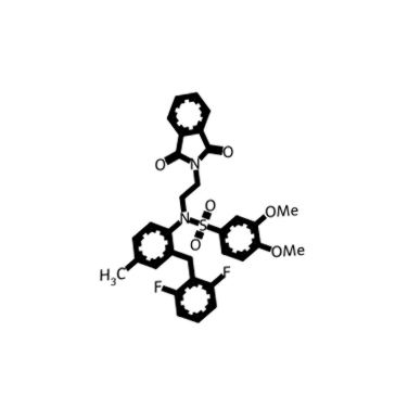 COc1ccc(S(=O)(=O)N(CCN2C(=O)c3ccccc3C2=O)c2ccc(C)cc2Cc2c(F)cccc2F)cc1OC